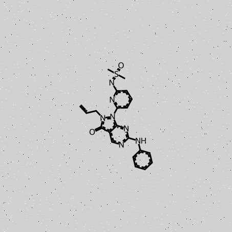 C=CCn1c(=O)c2cnc(Nc3ccccc3)nc2n1-c1cccc(N=S(C)(C)=O)n1